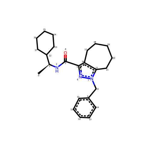 C[C@H](NC(=O)c1nn(Cc2ccccc2)c2c1CCCCC2)C1CCCCC1